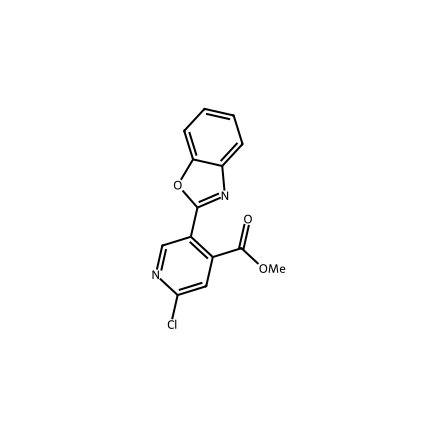 COC(=O)c1cc(Cl)ncc1-c1nc2ccccc2o1